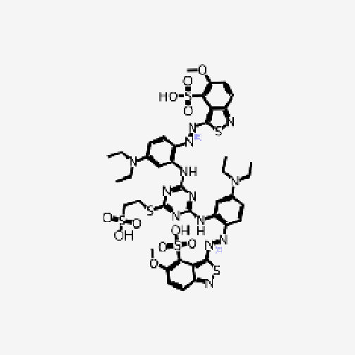 CCN(CC)c1ccc(/N=N/c2snc3ccc(OC)c(S(=O)(=O)O)c23)c(Nc2nc(Nc3cc(N(CC)CC)ccc3/N=N/c3snc4ccc(OC)c(S(=O)(=O)O)c34)nc(SCCS(=O)(=O)O)n2)c1